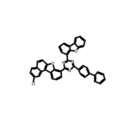 Clc1ccc2ccc3oc4c(-c5nc(-c6ccc(-c7ccccc7)cc6)nc(-c6cccc7c6oc6ccccc67)n5)cccc4c3c2c1